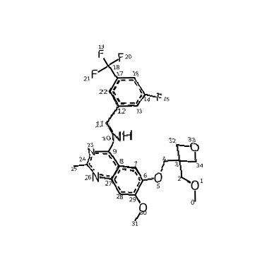 COCC1(COc2cc3c(NCc4cc(F)cc(C(F)(F)F)c4)nc(C)nc3cc2OC)COC1